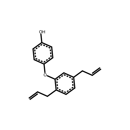 C=CCc1ccc(CC=C)c(Oc2ccc(O)cc2)c1